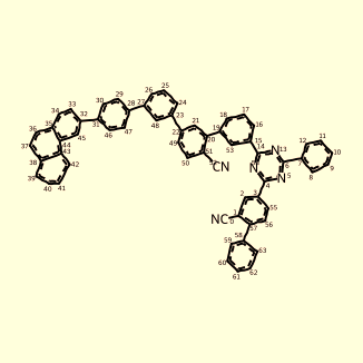 N#Cc1cc(-c2nc(-c3ccccc3)nc(-c3cccc(-c4cc(-c5cccc(-c6ccc(-c7ccc8ccc9ccccc9c8c7)cc6)c5)ccc4C#N)c3)n2)ccc1-c1ccccc1